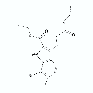 CCOC(=O)CCc1c(C(=O)OCC)[nH]c2c(Br)c(C)ccc12